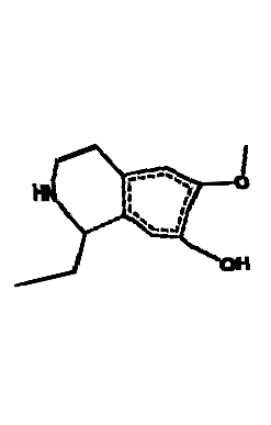 CCC1NCCc2cc(OC)c(O)cc21